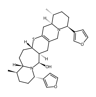 C[C@@H]1CC[C@@H](c2ccoc2)N2CC3=C(C[C@@H]12)S[C@H]1CC[C@H]2[C@H](C)CC[C@@H](c4ccoc4)N2[C@H](O)[C@@H]1C3